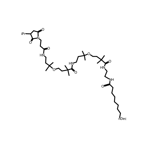 CCCCCCCCCCCCCCCCCC(=O)NCCNC(=O)C(C)(C)CCOC(C)(C)CCNC(=O)C(C)(C)CCOC(C)(C)CCNC(=O)CCN1C(=O)CC(C(C)C)C1=O